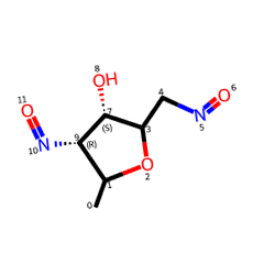 CC1OC(CN=O)[C@@H](O)[C@H]1N=O